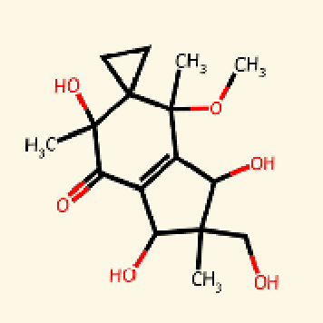 COC1(C)C2=C(C(=O)C(C)(O)C13CC3)C(O)C(C)(CO)C2O